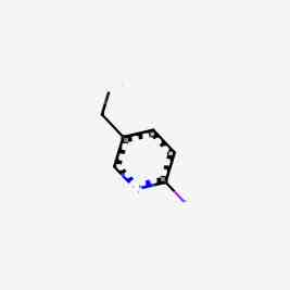 CC(C)Cc1ccc(I)nc1